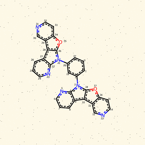 c1cc(-n2c3ncccc3c3c4cnccc4oc32)cc(-n2c3ncccc3c3c4cnccc4oc32)c1